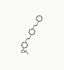 Cc1ccc(C=Cc2ccc(C=Cc3ccccc3)cc2)cc1